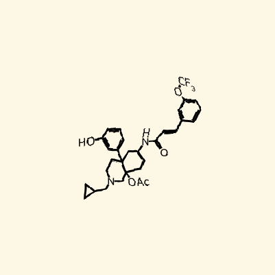 CC(=O)OC12CCC(NC(=O)/C=C/c3cccc(OC(F)(F)F)c3)CC1(c1cccc(O)c1)CCN(CC1CC1)C2